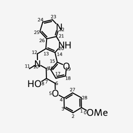 COc1ccc(OCC(O)CN(C)Cc2c(-c3ccco3)[nH]c3ncccc23)cc1